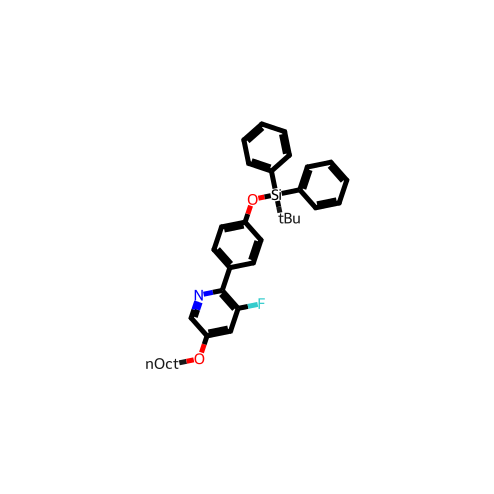 CCCCCCCCOc1cnc(-c2ccc(O[Si](c3ccccc3)(c3ccccc3)C(C)(C)C)cc2)c(F)c1